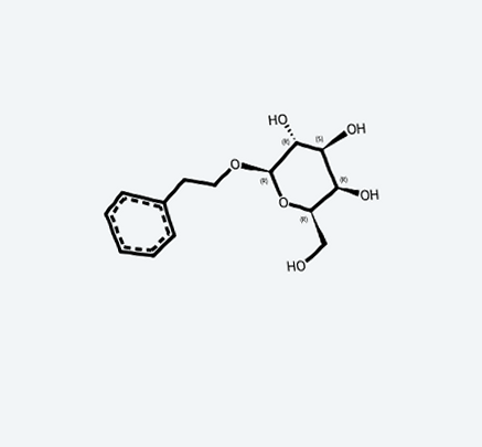 OC[C@H]1O[C@@H](OCCc2ccccc2)[C@H](O)[C@@H](O)[C@H]1O